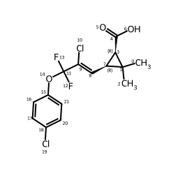 CC1(C)[C@H](C(=O)O)[C@@H]1C=C(Cl)C(F)(F)Oc1ccc(Cl)cc1